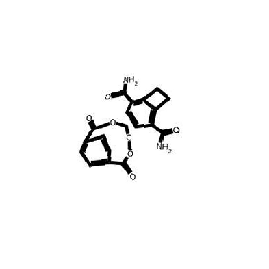 NC(=O)c1ccc(C(N)=O)c2c1CC2.O=C1OCCOC(=O)c2ccc1cc2